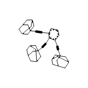 C(#CC12CC3CC(CC(C3)C1)C2)c1c[c]cc(C#CC23CC4CC(CC(C4)C2)C3)c1C#CC12CC3CC(CC(C3)C1)C2